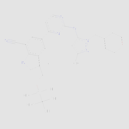 Cc1cc(Nc2nccc(-c3cc(C#N)c4c(c3)[C@@](C)(CO[Si](C)(C)C(C)(C)C)CN4)n2)n(CC2CCOCC2)n1